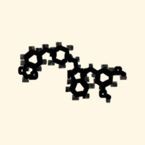 COc1cc(Cn2c(CN3CCN(Cc4ccc5c(c4)OCO5)CC3)nc3ccccc32)cc(OC)c1